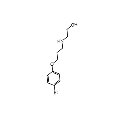 CCc1ccc(OCCCNCCO)cc1